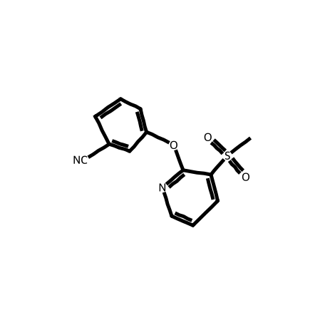 CS(=O)(=O)c1cccnc1Oc1cccc(C#N)c1